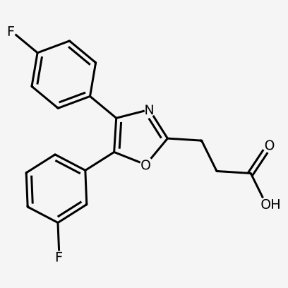 O=C(O)CCc1nc(-c2ccc(F)cc2)c(-c2cccc(F)c2)o1